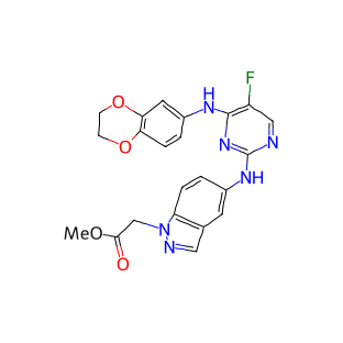 COC(=O)Cn1ncc2cc(Nc3ncc(F)c(Nc4ccc5c(c4)OCCO5)n3)ccc21